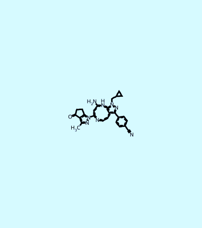 Cc1nn(-c2cc(N)[nH]c3c(ccn2)c(-c2ccc(C#N)cc2)nn3CC2CC2)c2c1C(=O)CC2